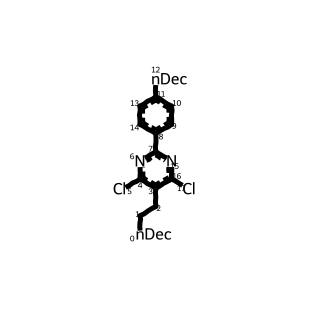 CCCCCCCCCCCCc1c(Cl)nc(-c2ccc(CCCCCCCCCC)cc2)nc1Cl